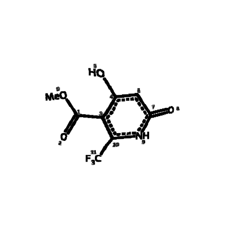 COC(=O)c1c(O)cc(=O)[nH]c1C(F)(F)F